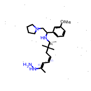 COc1cccc(C(CN2CCCC2)N[C@H](C)C(C)(C)C/C=C\C=C(/C)NN)c1